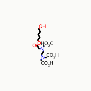 O=C(O)CN(CCN(CC(=O)O)CC(=O)OCCCCCO)CC(=O)O